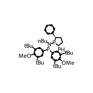 CCCCN(P(c1cc(C(C)(C)C)c(OC)c(C(C)(C)C)c1)c1cc(C(C)(C)C)c(OC)c(C(C)(C)C)c1)P1[C@@H](c2ccccc2)CC[C@@H]1P